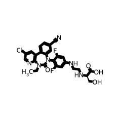 CCN1C(=O)N(c2c(F)cc(NCCN[C@H](CO)C(=O)O)cc2F)c2cc(C#N)ccc2-c2cc(Cl)cnc21